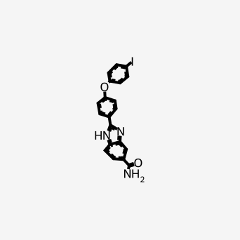 NC(=O)c1ccc2[nH]c(-c3ccc(Oc4ccc(I)cc4)cc3)nc2c1